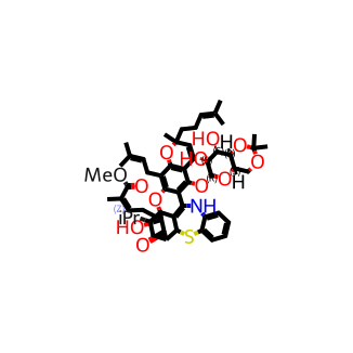 COC(=O)/C(C)=C\CC1(O)C(=O)C2CC(C(C)C)C13Oc1c(CC=C(C)C)c4c(c(O[C@H]5O[C@H]6COC(C)(C)O[C@@H]6[C@@H](O)[C@@H]5O)c1C1=C3C2Sc2ccccc2N1)C=CC(C)(CCC=C(C)C)O4